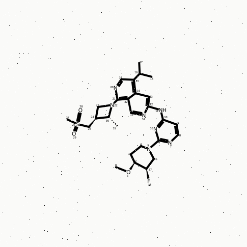 CO[C@H]1CCN(c2nccc(Nc3cc4c(C(C)C)cnc(N5C[C@H](CS(C)(=O)=O)[C@H]5C)c4cn3)n2)C[C@H]1F